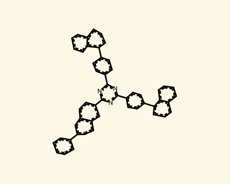 c1ccc(-c2ccc3cc(-c4nc(-c5ccc(-c6cccc7ccccc67)cc5)nc(-c5ccc(-c6cccc7ccccc67)cc5)n4)ccc3c2)cc1